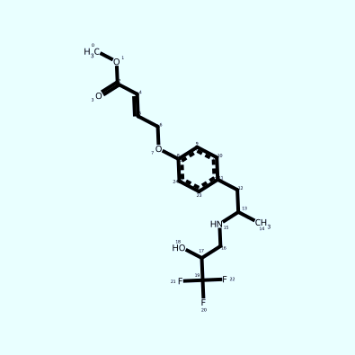 COC(=O)C=CCOc1ccc(CC(C)NCC(O)C(F)(F)F)cc1